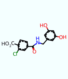 O=C(NCc1cc(O)cc(O)c1)c1ccc(C(=O)O)c(Cl)c1